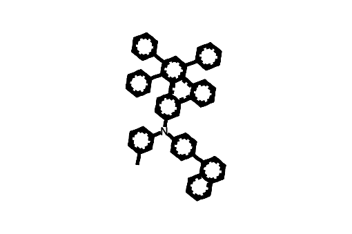 Cc1cccc(N(c2ccc(-c3cccc4ccccc34)cc2)c2ccc3c(c2)c2ccccc2c2c(-c4ccccc4)cc(-c4ccccc4)c(-c4ccccc4)c32)c1